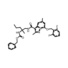 CCCC(C)(CNC(=O)c1c(C)nn2c(OCc3c(F)cccc3F)cc(C)cc12)NC(=O)OCc1ccccc1